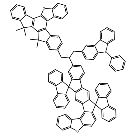 CC1(C)c2ccccc2-c2c1c1c(c3c2oc2ccccc23)-c2ccc(CC(Cc3ccc4c(c3)c3ccccc3n4-c3ccccc3)c3ccc4c(c3)C3(c5ccccc5-c5ccccc53)c3cc5c(cc3-4)C3(c4ccccc4-c4ccccc43)c3ccc4oc6ccccc6c4c3-5)cc2C1(C)C